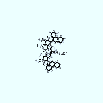 Cc1c(C)c(-c2cc3ccccc3c3ccccc23)c2c(c1C)[CH]([Zr+2]1([CH]3C(C(C)C)=Cc4c(-c5cc6ccccc6c6ccccc56)c(C)c(C)c(C)c43)[CH2][CH2]1)C(C(C)C)=C2.[Cl-].[Cl-]